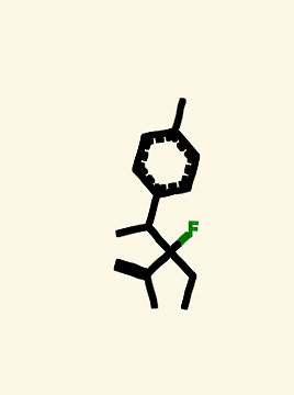 C=C(C)C(F)(CC)C(C)c1ccc(C)cc1